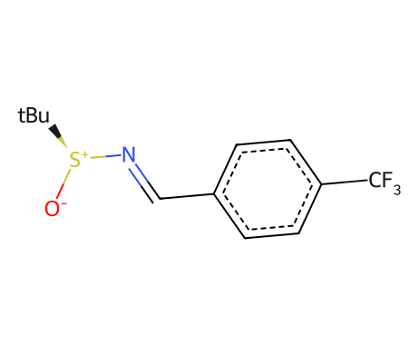 CC(C)(C)[S@+]([O-])N=Cc1ccc(C(F)(F)F)cc1